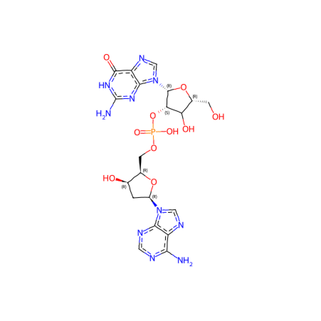 Nc1nc2c(ncn2[C@@H]2O[C@H](CO)C(O)[C@@H]2OP(=O)(O)OC[C@H]2O[C@@H](n3cnc4c(N)ncnc43)C[C@H]2O)c(=O)[nH]1